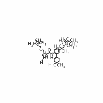 CC1(C)CC=C(c2cc(C(C)(C)CO[Si](C)(C)C(C)(C)C)ccc2NC(=O)c2nc(C#N)cn2COCC[Si](C)(C)C)CC1